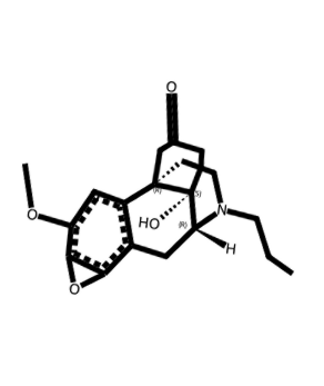 CCCN1CC[C@]23CC(=O)CC[C@@]2(O)[C@H]1Cc1c3cc(OC)c2c1O2